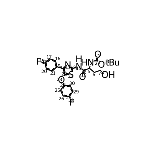 CC(C)(C)OC(=O)NC(CCO)C(=O)Nc1nc(-c2ccc(F)cc2)c(Oc2ccc(F)cc2)s1